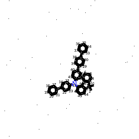 CC1(C)c2ccccc2-c2c(N(c3ccc(-c4ccccc4)cc3)c3ccc(-c4ccc(-c5ccccc5)cc4)cc3)cccc21